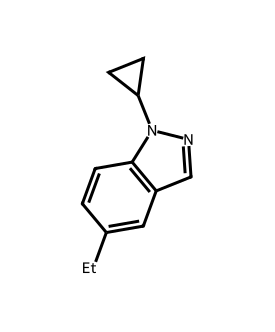 CCc1ccc2c(cnn2C2CC2)c1